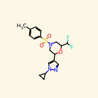 Cc1ccc(S(=O)(=O)N2CC(c3cnn(C4CC4)c3)OC(C(F)F)C2)cc1